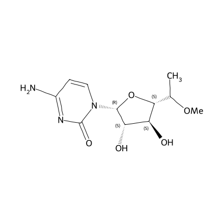 COC(C)[C@H]1O[C@@H](n2ccc(N)nc2=O)[C@@H](O)[C@@H]1O